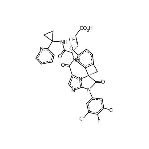 O=C(O)CC[C@H](NC(=O)c1cnc2n1[C@]1(Cc3ccc(OC(F)(F)F)cc31)C(=O)N2c1cc(Cl)c(F)c(Cl)c1)C(=O)NC1(c2ccccn2)CC1